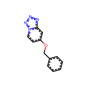 c1ccc(COc2ccn3nnnc3c2)cc1